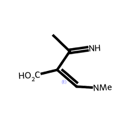 CN/C=C(\C(C)=N)C(=O)O